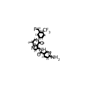 C[C@H]1CN(c2ccc(C(F)(F)F)c(CF)c2)C(=O)c2c(NC(=O)c3ccc(N)nc3)cnn21